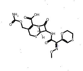 CO/N=C(\C(=O)NC1C(=O)N2C(C(=O)O)=C(COC(N)=O)CS[C@H]12)C1=CSCCO1